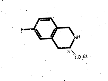 CCOC(=O)[C@@H]1Cc2cc(F)ccc2CN1